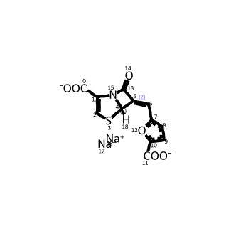 O=C([O-])C1=CS[C@H]2/C(=C\c3ccc(C(=O)[O-])o3)C(=O)N12.[Na+].[Na+]